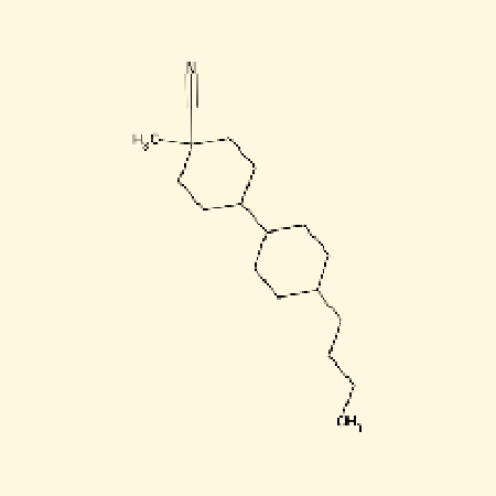 CCCCC1CCC(C2CCC(C)(C#N)CC2)CC1